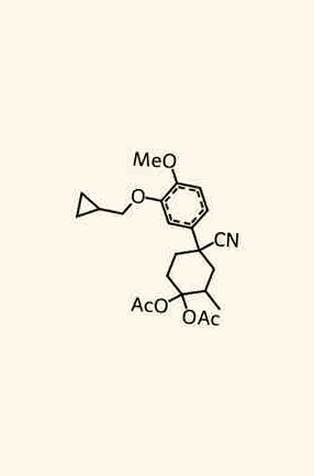 COc1ccc(C2(C#N)CCC(OC(C)=O)(OC(C)=O)C(C)C2)cc1OCC1CC1